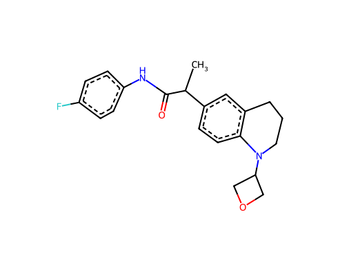 CC(C(=O)Nc1ccc(F)cc1)c1ccc2c(c1)CCCN2C1COC1